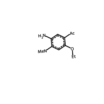 CCOc1cc(NC)c(N)cc1C(C)=O